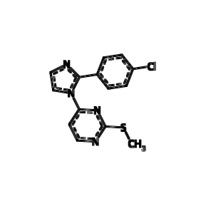 CSc1nccc(-n2ccnc2-c2ccc(Cl)cc2)n1